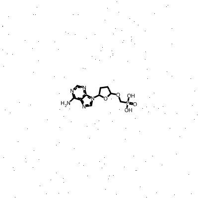 Nc1ncnc2c1ncn2C1CCC(OCP(=O)(O)O)O1